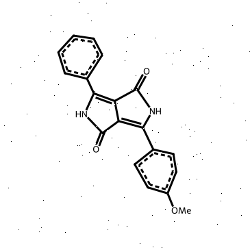 COc1ccc(C2=C3C(=O)NC(c4ccccc4)=C3C(=O)N2)cc1